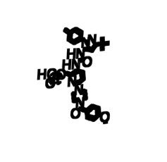 COc1ccc(C(=O)N2CCN(c3ccc(NC(=O)Nc4cc(C(C)(C)C)nn4-c4ccc(C)cc4)c(C)n3)CC2)cc1.CS(=O)(=O)O